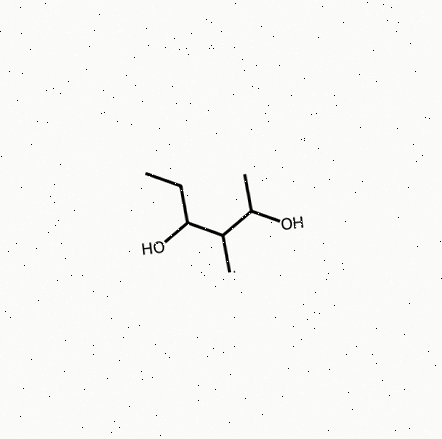 [CH2]C(C(C)O)C(O)CC